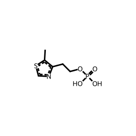 Cc1scnc1CCOP(=O)(O)O